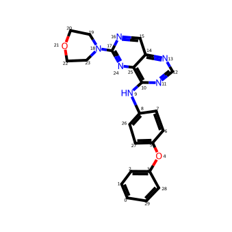 c1ccc(Oc2ccc(Nc3ncnc4cnc(N5CCOCC5)nc34)cc2)cc1